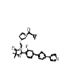 CC1(C)N=C(c2ccc(-c3ccc(-c4ccncc4)cc3)cc2F)N(CC[C@@H]2CCN(C(=O)C3CC3)C2)C1=O